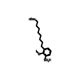 CCCCCCCCCCCCCCCCCCc1cccc(S(=O)(=O)O)c1OI